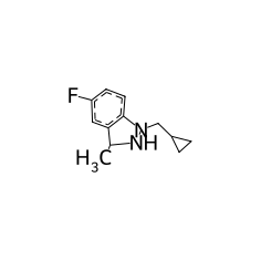 CC1NN(CC2CC2)c2ccc(F)cc21